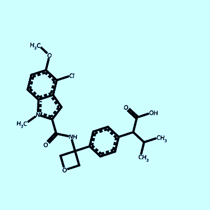 COc1ccc2c(cc(C(=O)NC3(c4ccc(C(C(=O)O)C(C)C)cc4)COC3)n2C)c1Cl